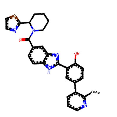 COc1ncccc1-c1ccc(O)c(-c2nc3cc(C(=O)N4CCCCC4c4nccs4)ccc3[nH]2)c1